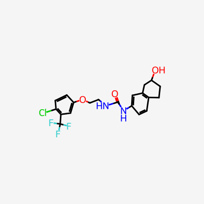 O=C(NCCOc1ccc(Cl)c(C(F)(F)F)c1)Nc1ccc2c(c1)CC(O)CC2